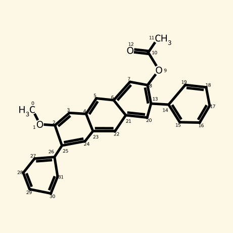 COc1cc2cc3cc(OC(C)=O)c(-c4ccccc4)cc3cc2cc1-c1ccccc1